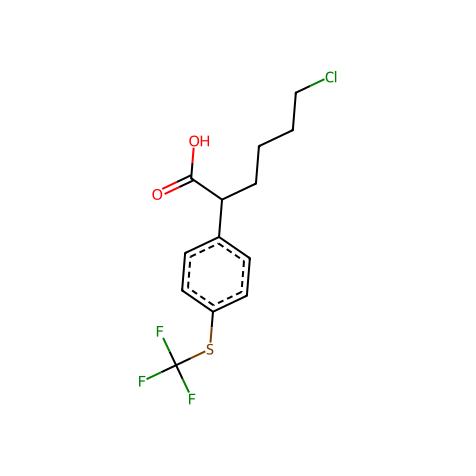 O=C(O)C(CCCCCl)c1ccc(SC(F)(F)F)cc1